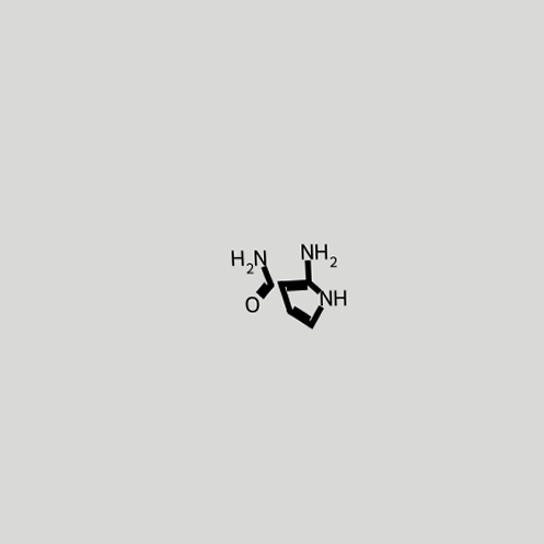 NC=O.Nc1ccc[nH]1